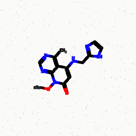 CCCCOn1c(=O)cc(NCc2ncc[nH]2)c2c(C)ncnc21